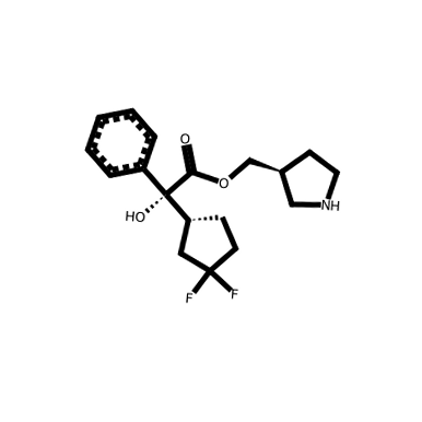 O=C(OC[C@H]1CCNC1)[C@](O)(c1ccccc1)[C@@H]1CCC(F)(F)C1